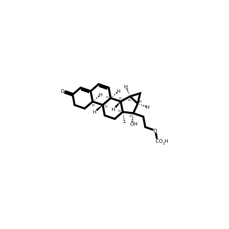 C[C@]12CC[C@H]3[C@@H](C=CC4=CC(=O)CC[C@@H]43)[C@@H]1[C@H]1C[C@H]1[C@@]2(O)CCOC(=O)O